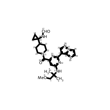 COCC(C)(C)Nc1cc(C(=O)N2CCC(C3(NC=O)CC3)CC2)nc(-c2cnn3ccsc23)n1